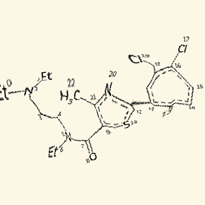 CCN(CC)CCN(CC)C(=O)c1sc(-c2cccc(Cl)c2Cl)nc1C